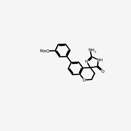 COc1cccc(-c2ccc3c(c2)C2(CCO3)N=C(N)NC2=O)c1